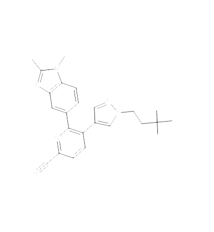 Cc1nc2cc(-c3nc(C#N)ccc3-c3cnn(CCC(C)(F)F)c3)ccc2n1C